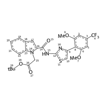 COc1cc(C(F)(F)F)cc(OC)c1-c1csc(NC(=O)c2cc3ccccc3n2CC(=O)OC(C)(C)C)n1